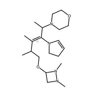 C/C(=C(\C(C)N1CCOCC1)N1C=CCC1)C(C)COC1CN(C)N1C